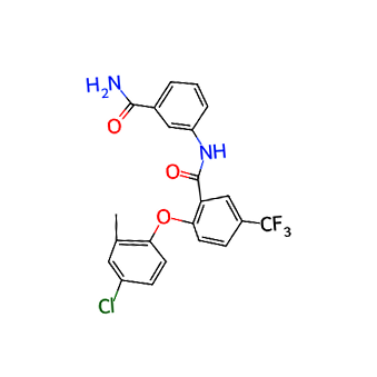 Cc1cc(Cl)ccc1Oc1ccc(C(F)(F)F)cc1C(=O)Nc1cccc(C(N)=O)c1